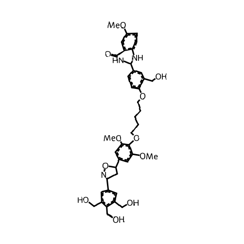 COc1ccc2c(c1)C(=O)NC(c1ccc(OCCCCCOc3c(OC)cc(C4CC(c5cc(CO)c(CO)c(CO)c5)=NO4)cc3OC)c(CO)c1)N2